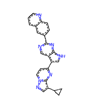 c1cnc2ccc(-c3ncc4c(-c5ccn6ncc(C7CC7)c6n5)c[nH]c4n3)cc2c1